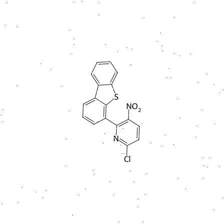 O=[N+]([O-])c1ccc(Cl)nc1-c1cccc2c1sc1ccccc12